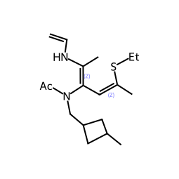 C=CN/C(C)=C(/C=C(/C)SCC)N(CC1CC(C)C1)C(C)=O